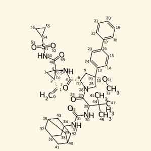 C=C[C@@H]1C[C@]1(NC(=O)[C@@H]1C[C@@](OC)(c2ccc(-c3ccccc3)cc2)CN1C(=O)C(NC(=O)NC12CC3CC(CC(C3)C1)C2)C(C)(C)C)C(=O)NS(=O)(=O)C1CC1